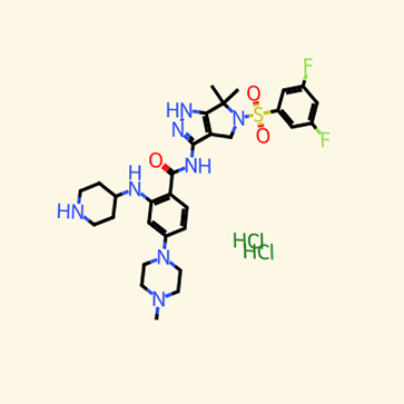 CN1CCN(c2ccc(C(=O)Nc3n[nH]c4c3CN(S(=O)(=O)c3cc(F)cc(F)c3)C4(C)C)c(NC3CCNCC3)c2)CC1.Cl.Cl